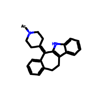 CC(=O)N1CCC(=C2c3ccccc3CCc3c2[nH]c2ccccc32)CC1